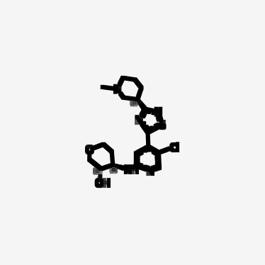 CN1CCC[C@@H](c2nsc(-c3cc(N[C@@H]4CCOC[C@H]4O)ncc3Cl)n2)C1